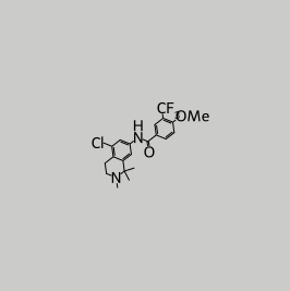 COc1ccc(C(=O)Nc2cc(Cl)c3c(c2)C(C)(C)N(C)CC3)cc1C(F)(F)F